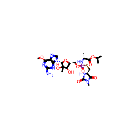 COc1nc(N)nc2c1ncn2[C@@H]1O[C@H](COP(=O)(N[C@H](C)C(=O)OC(C)C)SC[C@@H]2NC(=O)N(C)C2=O)[C@@H](O)C1(C)O